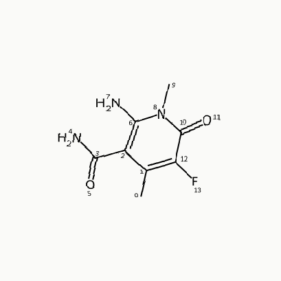 Cc1c(C(N)=O)c(N)n(C)c(=O)c1F